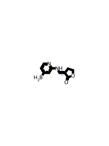 Bc1ccnc(N/C=C2\CCOC2=O)c1